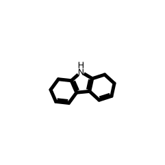 C1=Cc2c([nH]c3c2C=CCC3)CC1